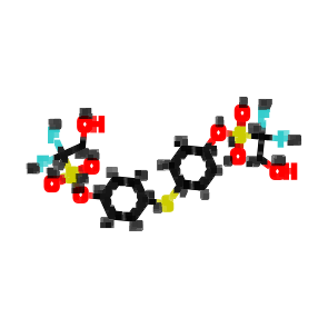 O=S(=O)(Oc1ccc(Sc2ccc(OS(=O)(=O)C(F)(F)CO)cc2)cc1)C(F)(F)CO